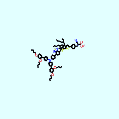 CCCCOc1ccc(-c2ccc(N(c3ccc(-c4ccc(OCCCC)cc4OCCCC)cc3)c3ccc(-c4ccc(-c5cc6c(s5)-c5sc(-c7ccc(/C=C(\C#N)C(=O)O)cc7)cc5C6(CC(CC)CCCC)CC(CC)CCCC)c5nsnc45)cc3)cc2)c(OCCCC)c1